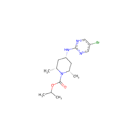 CC(C)OC(=O)N1[C@H](C)C[C@H](Nc2ncc(Br)cn2)C[C@@H]1C